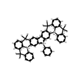 CC1(C)c2ccccc2N2c3cc4c(cc3C(C)(C)c3cccc1c32)c1cc2c(cc1n4-c1ccccc1)N1c3ccccc3C(C)(C)c3cccc(c31)C2(C)C